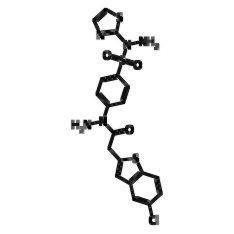 NN(C(=O)Cc1cc2cc(Cl)ccc2s1)c1ccc(S(=O)(=O)N(N)c2nccs2)cc1